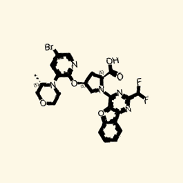 C[C@H]1COCCN1c1cc(Br)cnc1O[C@H]1C[C@@H](C(=O)O)N(c2nc(C(F)F)nc3c2oc2ccccc23)C1